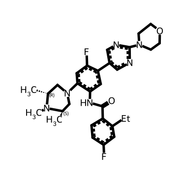 CCc1cc(F)ccc1C(=O)Nc1cc(-c2cnc(N3CCOCC3)nc2)c(F)cc1N1C[C@@H](C)N(C)[C@@H](C)C1